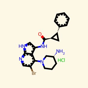 Cl.N[C@@H]1CCCN(c2c(Br)cnc3[nH]cc(NC(=O)[C@@H]4C[C@H]4c4ccccc4)c23)C1